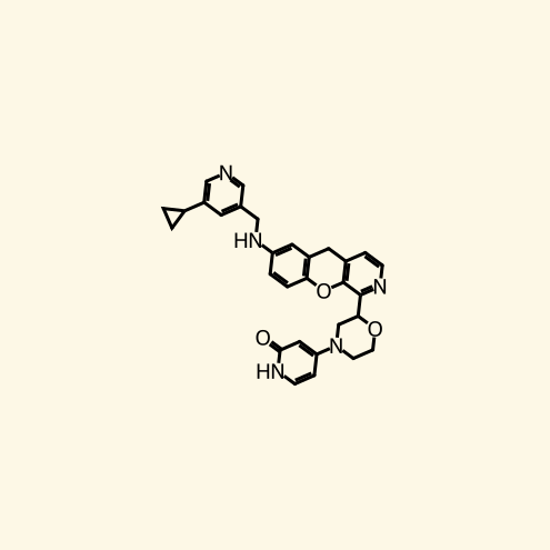 O=c1cc(N2CCOC(c3nccc4c3Oc3ccc(NCc5cncc(C6CC6)c5)cc3C4)C2)cc[nH]1